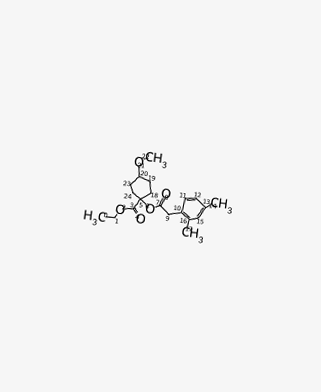 CCOC(=O)C1(OC(=O)Cc2ccc(C)cc2C)CCC(OC)CC1